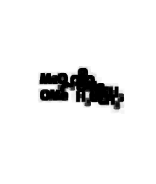 COCC(COP(=O)(OC)OCC[N+](C)(C)C)OC